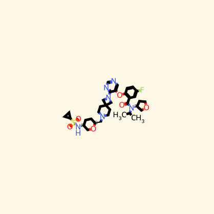 CC(C)N(C(=O)c1cc(F)ccc1Oc1cncnc1N1CC2(CCN(C[C@@H]3CC[C@@H](NS(=O)(=O)C4CC4)CO3)CC2)C1)[C@@H]1CCOC1